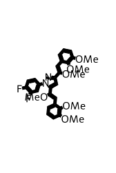 COC(=Cc1cccc(OC)c1OC)c1cc(C(=Cc2cccc(OC)c2OC)OC)n(-c2ccc(F)c(F)c2)n1